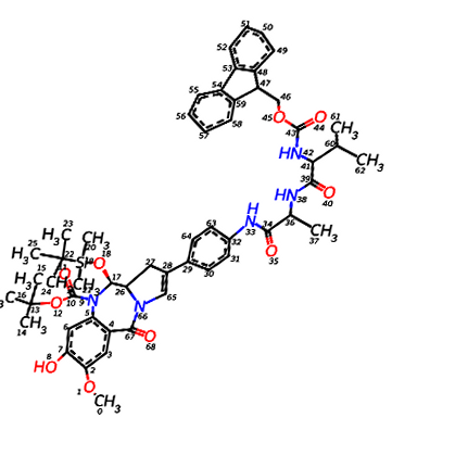 COc1cc2c(cc1O)N(C(=O)OC(C)(C)C)[C@@H](O[Si](C)(C)C(C)(C)C)C1CC(c3ccc(NC(=O)C(C)NC(=O)C(NC(=O)OCC4c5ccccc5-c5ccccc54)C(C)C)cc3)=CN1C2=O